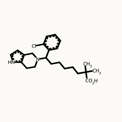 CC(C)(CCCCCC(c1ccccc1Cl)N1CCc2[nH]ccc2C1)C(=O)O